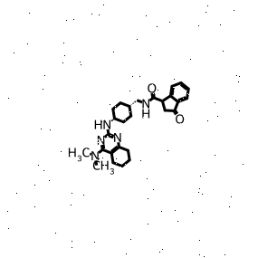 CN(C)c1nc(N[C@H]2CC[C@@H](CNC(=O)C3CC(=O)c4ccccc43)CC2)nc2c1CCCC2